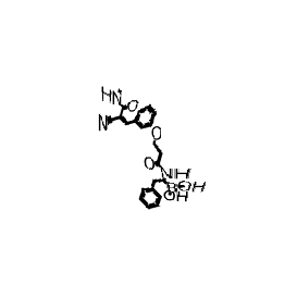 CNC(=O)C(C#N)=Cc1cccc(OCCC(=O)NC(Cc2ccccc2)B(O)O)c1